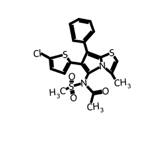 CC(=O)N(c1c(-c2ccc(Cl)s2)c(-c2ccccc2)c2scc(C)n12)S(C)(=O)=O